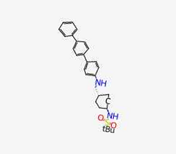 CC(C)(C)S(=O)(=O)N[C@H]1CC[C@H](CNc2ccc(-c3ccc(-c4ccccc4)cc3)cc2)CC1